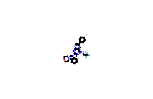 Fc1ccc(-c2cnc3nc(NC[N+]4(c5ccccc5)CCOCC4)nc(NCC(F)(F)F)c3n2)cc1